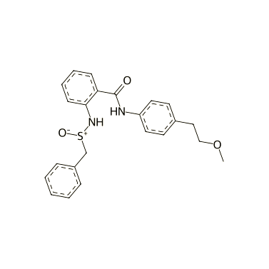 COCCc1ccc(NC(=O)c2ccccc2N[S+]([O-])Cc2ccccc2)cc1